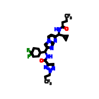 O=C(CCC(F)(F)F)NC(c1ccn2cc([C@@H](NC(=O)c3cnn(CCC(F)(F)F)n3)C3CCC(F)(F)CC3)nc2n1)C1CC1